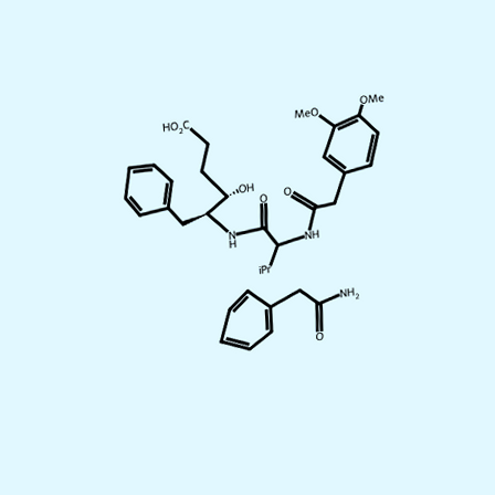 COc1ccc(CC(=O)NC(C(=O)N[C@@H](Cc2ccccc2)[C@@H](O)CCC(=O)O)C(C)C)cc1OC.NC(=O)Cc1ccccc1